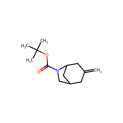 C=C1CC2CC(C1)N(C(=O)OC(C)(C)C)C2